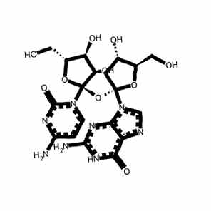 Nc1ccn([C@]2(O[C@]3(n4cnc5c(=O)[nH]c(N)nc54)C[C@H](O)[C@@H](CO)O3)O[C@H](CO)[C@@H](O)[C@H]2O)c(=O)n1